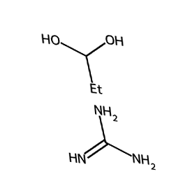 CCC(O)O.N=C(N)N